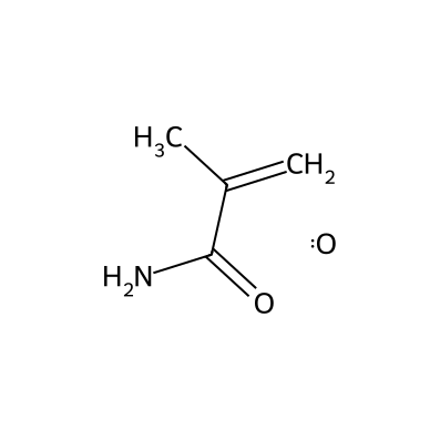 C=C(C)C(N)=O.[O]